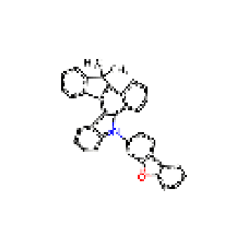 CC1(C)c2ccccc2-c2c1c1ccccc1c1c2c2ccccc2n1-c1ccc2c(c1)oc1ccccc12